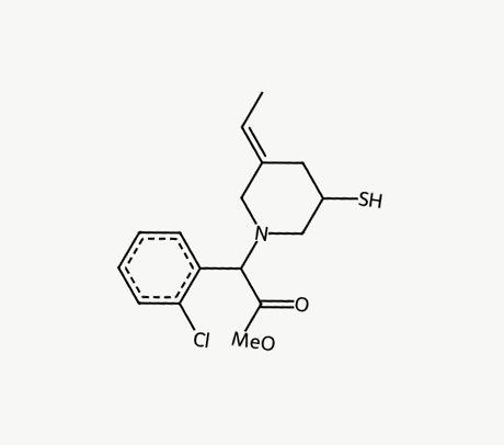 C/C=C1\CC(S)CN(C(C(=O)OC)c2ccccc2Cl)C1